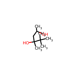 CC(O)CC(C)(O)C(C)(C)C